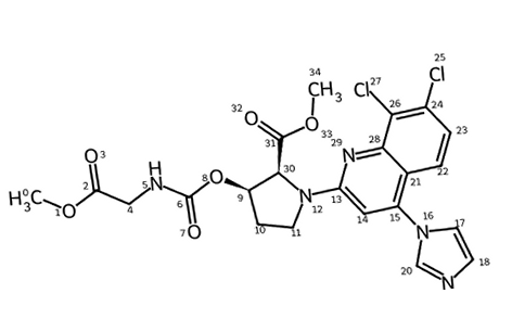 COC(=O)CNC(=O)O[C@@H]1CCN(c2cc(-n3ccnc3)c3ccc(Cl)c(Cl)c3n2)[C@@H]1C(=O)OC